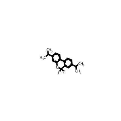 CC(C)c1ccc2c(c1)OC(F)(F)c1cc(C(C)C)ccc1-2